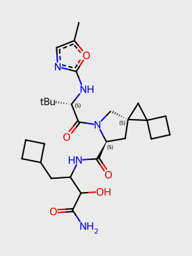 Cc1cnc(N[C@H](C(=O)N2C[C@]3(C[C@H]2C(=O)NC(CC2CCC2)C(O)C(N)=O)CC32CCC2)C(C)(C)C)o1